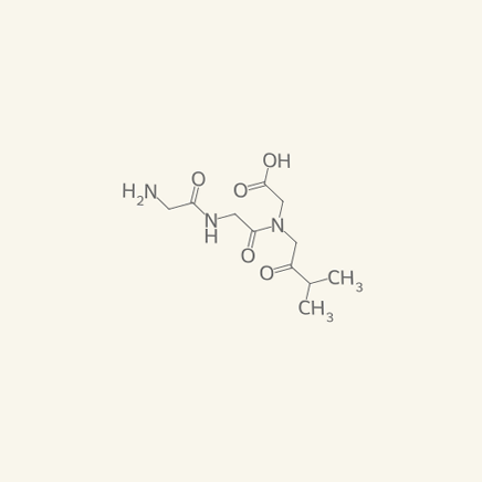 CC(C)C(=O)CN(CC(=O)O)C(=O)CNC(=O)CN